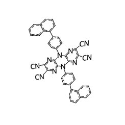 [C-]#[N+]c1nc2c(nc1[N+]#[C-])N(c1ccc(-c3cccc4ccccc34)cc1)c1nc(C#N)c(C#N)nc1N2c1ccc(-c2cccc3ccccc23)cc1